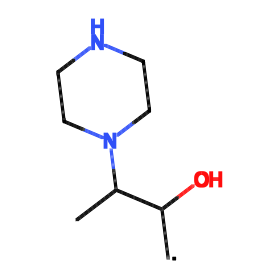 [CH2]C(O)C(C)N1CCNCC1